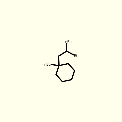 CCCCC(CC)CC1(CCCC)CCCCC1